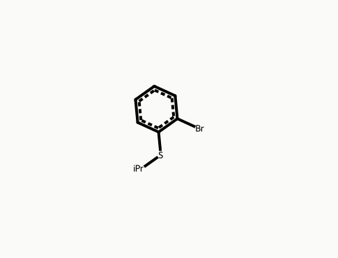 CC(C)Sc1ccccc1Br